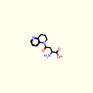 NC(CC(=O)N1CCCc2ncccc21)C(=O)O